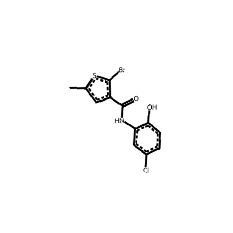 Cc1cc(C(=O)Nc2cc(Cl)ccc2O)c(Br)s1